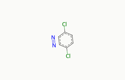 Clc1ccc(Cl)cc1.N#N